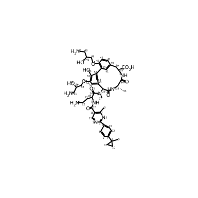 Cc1nc(-c2ccc(C3(C)CC3)cc2)ncc1C(=O)NC(CCN)C(=O)N(C)[C@@H]1C(=O)N[C@@H](C)C(=O)N[C@H](C(=O)O)Cc2ccc(OCC(O)CN)c(c2)-c2cc1cc(OCC(O)CN)c2O